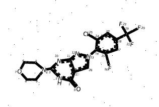 O=c1[nH]c(N2CCOCC2)nc2nn(-c3c(F)cc(C(F)(F)F)cc3Cl)cc12